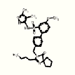 CCCCC1=NC2(CCCC2)C(=O)N1Cc1ccc(-c2ccc(OC)cc2S(=O)(=O)Nc2noc(C)c2C)cc1